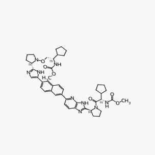 COC(=O)N[C@H](C(=O)N1CCC[C@H]1c1nc2ccc(-c3ccc4cc(-c5cnc([C@@H]6CCCN6OC[C@@H](NC(=O)OC)C6CCCC6)[nH]5)ccc4c3)nc2[nH]1)C1CCCC1